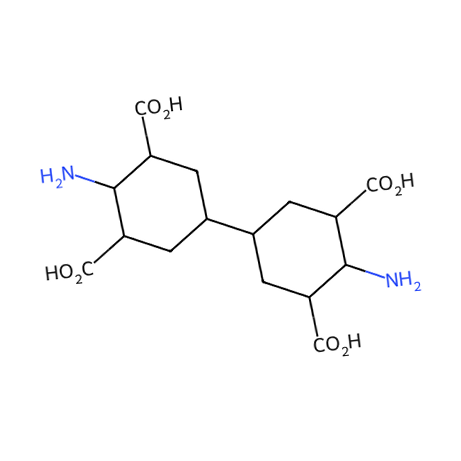 NC1C(C(=O)O)CC(C2CC(C(=O)O)C(N)C(C(=O)O)C2)CC1C(=O)O